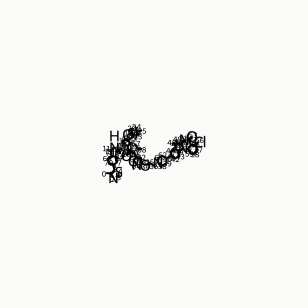 Cc1ncsc1-c1ccc([C@H](C)NC(=O)[C@@H]2C[C@@H](O[Si](C)(C)C(C)(C)C)CN2C(=O)[C@@H](c2cc(OCCN3CCC(c4ccc5c(c4)C(C)(C)c4nc(=O)c6c(Cl)cccc6n4-5)CC3)no2)C(C)C)cc1